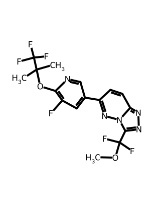 COC(F)(F)c1nnc2ccc(-c3cnc(OC(C)(C)C(F)(F)F)c(F)c3)nn12